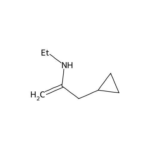 C=C(CC1CC1)NCC